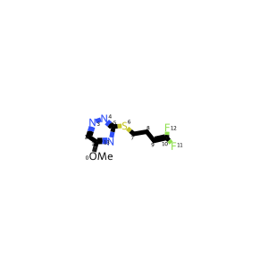 COc1cnnc(SCCC=C(F)F)n1